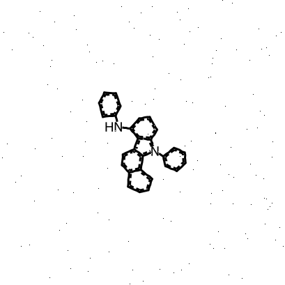 c1ccc(Nc2cccc3c2c2ccc4ccccc4c2n3-c2ccccc2)cc1